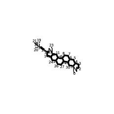 Cn1ccc2cc3ccc4c5cc6c(cc(C#C[Si](C)(C)C)n6C)cc5ccc4c3cc21